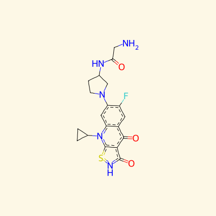 NCC(=O)NC1CCN(c2cc3c(cc2F)c(=O)c2c(=O)[nH]sc2n3C2CC2)C1